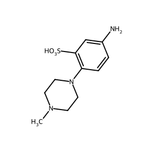 CN1CCN(c2ccc(N)cc2S(=O)(=O)O)CC1